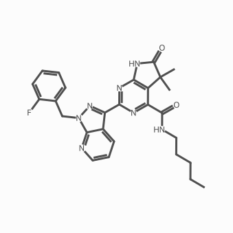 CCCCCNC(=O)c1nc(-c2nn(Cc3ccccc3F)c3ncccc23)nc2c1C(C)(C)C(=O)N2